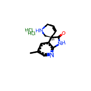 Cc1cnc2c(c1)[C@]1(C=CCNC1)C(=O)N2.Cl.Cl